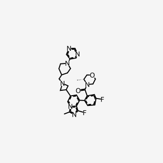 Cc1nc(F)c2c(-c3ccc(F)cc3C(=O)N3CCOC[C@H]3C)cc(C3CN(CC4CCN(c5cncnc5)CC4)C3)cn12